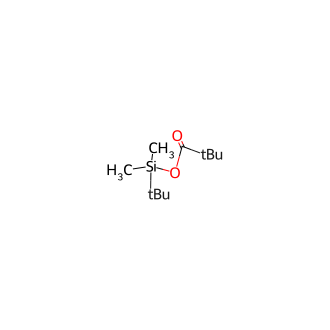 CC(C)(C)C(=O)O[Si](C)(C)C(C)(C)C